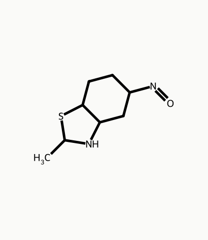 CC1NC2CC(N=O)CCC2S1